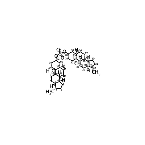 C[C@H]1CC[C@@H]2[C@H]1CC[C@H]1[C@@H]2CC[C@@H]2C[C@H](OS(=O)(=O)O[C@@H]3CC[C@@]4(C)[C@H](CC[C@@H]5[C@@H]6CC[C@H](C)[C@@H]6CC[C@@H]54)C3)CC[C@@]21C